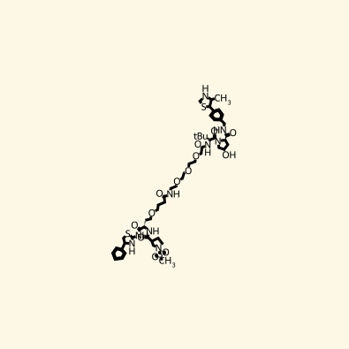 CC1NCSC1c1ccc(CNC(=O)[C@H]2C[C@@H](O)CN2C(=O)[C@@H](NC(=O)COCCOCCOCCNC(=O)CCCOCC[C@H](NC(=O)C2CCN(S(C)(=O)=O)C2)C(=O)NC2NC(c3ccccc3)CS2)C(C)(C)C)cc1